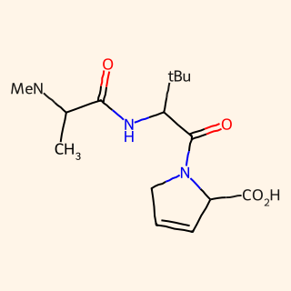 CNC(C)C(=O)NC(C(=O)N1CC=CC1C(=O)O)C(C)(C)C